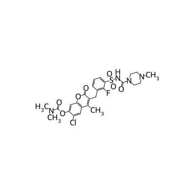 Cc1c(Cc2cccc(S(=O)(=O)NC(=O)N3CCN(C)CC3)c2F)c(=O)oc2cc(OC(=O)N(C)C)c(Cl)cc12